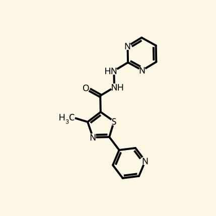 Cc1nc(-c2cccnc2)sc1C(=O)NNc1ncccn1